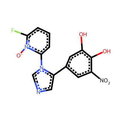 O=[N+]([O-])c1cc(-c2cncn2-c2cccc(F)[n+]2[O-])cc(O)c1O